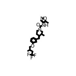 Cc1oncc1NC(=O)N1CCC(=Cc2cccc(OCC(C)CC(F)(F)F)c2)C(C)C1